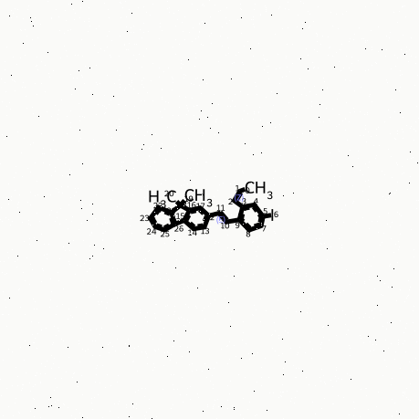 C/C=C\c1cc(I)ccc1/C=C/c1ccc2c(c1)C(C)(C)c1ccccc1-2